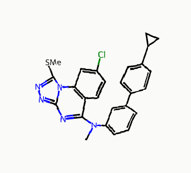 CSc1nnc2nc(N(C)c3cccc(-c4ccc(C5CC5)cc4)c3)c3ccc(Cl)cc3n12